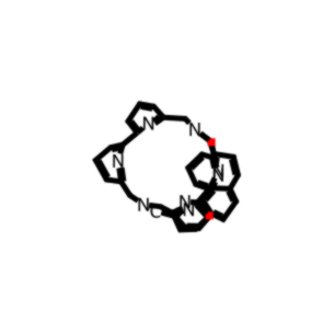 c1cc2nc(c1)-c1cccc(n1)CN1Cc3cccc(n3)-c3cccc(n3)CN(C2)Cc2ccc3ccc4ccc(nc4c3n2)C1